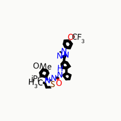 COc1ccc(C(C)C)c(N2/C(=N/C(=O)NC3=C(c4ccc(-c5ncn(-c6ccc(OC(F)(F)F)cc6)n5)cc4)CCC3)SCCC2C)c1